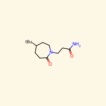 CC(C)(C)C1CCC(=O)N(CCC(N)=O)CC1